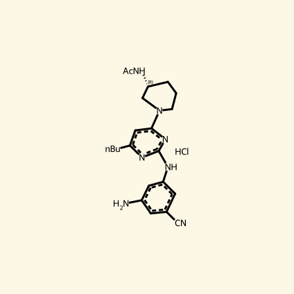 CCCCc1cc(N2CCC[C@@H](NC(C)=O)C2)nc(Nc2cc(N)cc(C#N)c2)n1.Cl